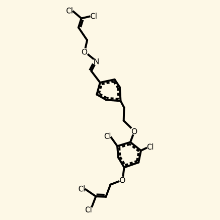 ClC(Cl)=CCON=Cc1ccc(CCOc2c(Cl)cc(OCC=C(Cl)Cl)cc2Cl)cc1